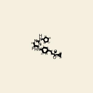 O=S(=O)(CCc1ccc(Nc2nc(NC3CCCC3)ncc2F)cc1)C1CC1